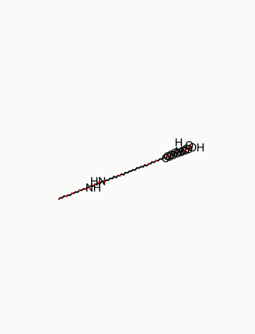 CCCCCCCCCCCCCCCCNCCCCCCNCCCCCCCCCCCCCCCCCCCCCCCCCCCCCCCCOOOOOOONOOOOOC(=O)O